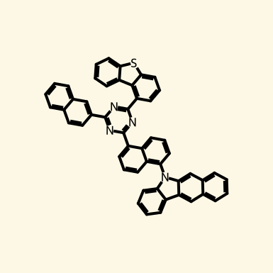 c1ccc2cc(-c3nc(-c4cccc5c(-n6c7ccccc7c7cc8ccccc8cc76)cccc45)nc(-c4cccc5sc6ccccc6c45)n3)ccc2c1